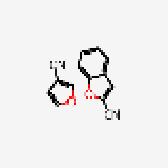 N#Cc1cc2ccccc2o1.N#Cc1ccoc1